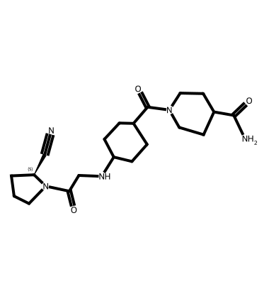 N#C[C@@H]1CCCN1C(=O)CNC1CCC(C(=O)N2CCC(C(N)=O)CC2)CC1